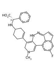 CN1C=C2C(=C(C3=CCC(N[C@H](C(=O)O)c4ccccc4)CC3)C1)NN=C1C=Cc3cc(F)cc2c31